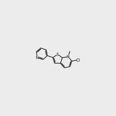 CN1C(Cl)=CC=C2C=C(c3cccnc3)SC21